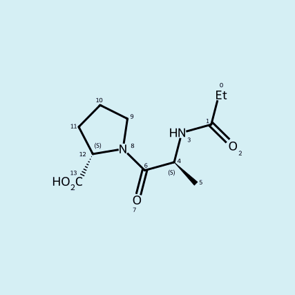 CCC(=O)N[C@@H](C)C(=O)N1CCC[C@H]1C(=O)O